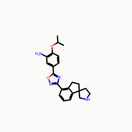 CC(C)Oc1ccc(-c2nc(-c3cccc4c3CCC43CCNC3)no2)cc1N